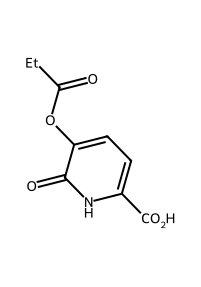 CCC(=O)Oc1ccc(C(=O)O)[nH]c1=O